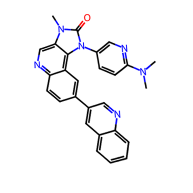 CN(C)c1ccc(-n2c(=O)n(C)c3cnc4ccc(-c5cnc6ccccc6c5)cc4c32)cn1